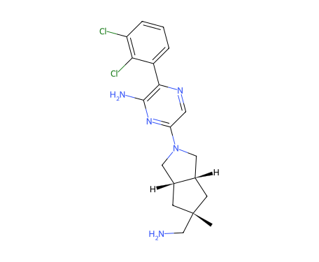 C[C@]1(CN)C[C@H]2CN(c3cnc(-c4cccc(Cl)c4Cl)c(N)n3)C[C@H]2C1